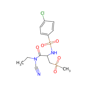 CCN(C#N)C(=O)C(CS(C)(=O)=O)NS(=O)(=O)c1ccc(Cl)cc1